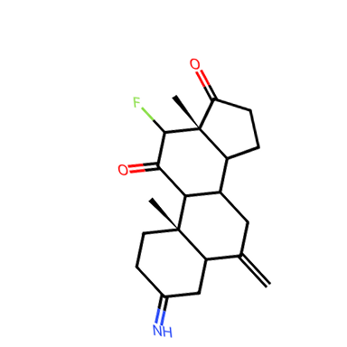 C=C1CC2C(C(=O)C(F)[C@]3(C)C(=O)CCC23)[C@@]2(C)CCC(=N)CC12